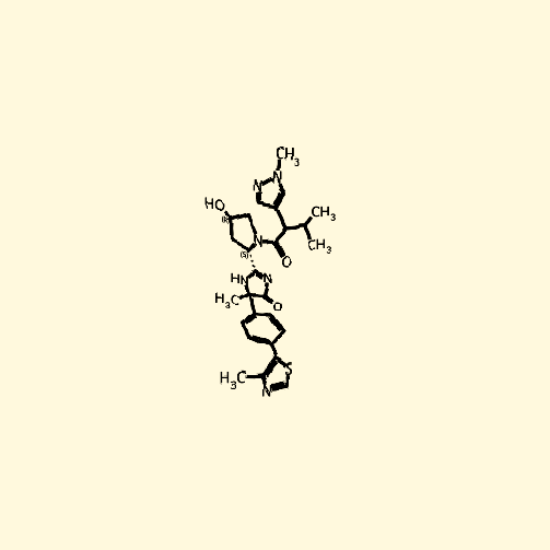 Cc1ncsc1-c1ccc(C2(C)NC([C@@H]3C[C@@H](O)CN3C(=O)C(c3cnn(C)c3)C(C)C)=NC2=O)cc1